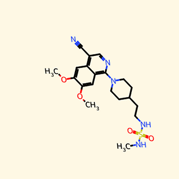 CNS(=O)(=O)NCCC1CCN(c2ncc(C#N)c3cc(OC)c(OC)cc23)CC1